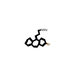 CNCC/C=C1/c2ccccc2C=Cc2cc(Br)ccc21